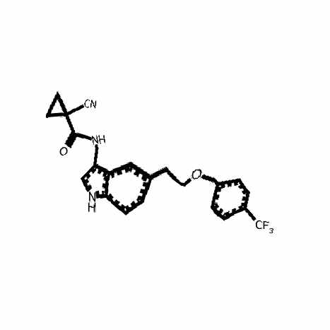 N#CC1(C(=O)Nc2c[nH]c3ccc(CCOc4ccc(C(F)(F)F)cc4)cc23)CC1